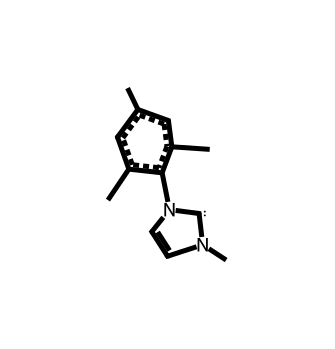 Cc1cc(C)c(N2[C]N(C)C=C2)c(C)c1